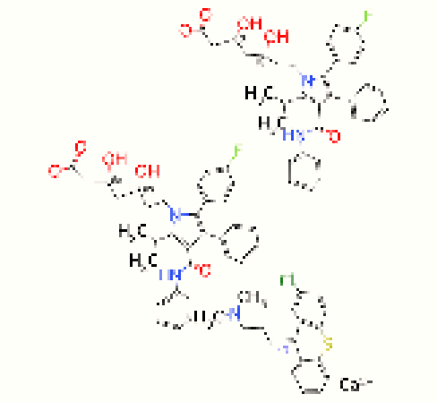 CC(C)c1c(C(=O)Nc2ccccc2)c(-c2ccccc2)c(-c2ccc(F)cc2)n1CC[C@@H](O)C[C@@H](O)CC(=O)[O-].CC(C)c1c(C(=O)Nc2ccccc2)c(-c2ccccc2)c(-c2ccc(F)cc2)n1CC[C@@H](O)C[C@@H](O)CC(=O)[O-].CN(C)CC/C=C1/c2ccccc2Sc2ccc(Cl)cc21.[Ca+2]